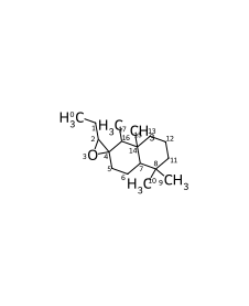 CCC1OC12CCC1C(C)(C)CCCC1(C)C2C